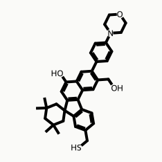 CC1(C)CC(C)(C)CC2(C1)c1cc(CS)ccc1-c1c2cc(O)c2cc(-c3ccc(N4CCOCC4)cc3)c(CO)cc12